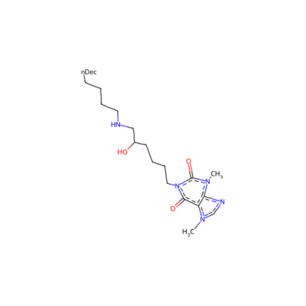 CCCCCCCCCCCCCCNCC(O)CCCCn1c(=O)c2c(ncn2C)n(C)c1=O